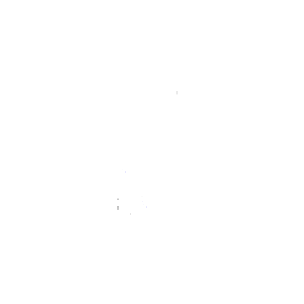 CC(C)CCCCCOC(=O)c1ncccc1N